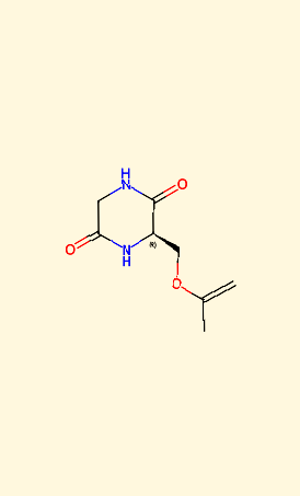 C=C(C)OC[C@H]1NC(=O)CNC1=O